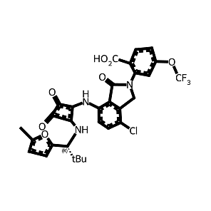 Cc1ccc([C@H](Nc2c(Nc3ccc(Cl)c4c3C(=O)N(c3cc(OC(F)(F)F)ccc3C(=O)O)C4)c(=O)c2=O)C(C)(C)C)o1